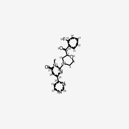 Cn1c(N2CCOC(C(=O)c3ccccc3F)C2)nc(-c2ccncn2)cc1=O